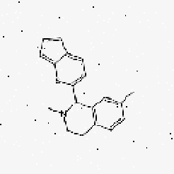 Cc1ccc2c(c1)C(c1ccc3cccc-3s1)N(C)CC2